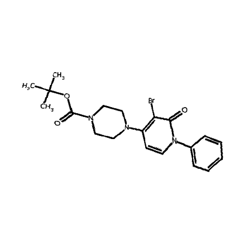 CC(C)(C)OC(=O)N1CCN(c2ccn(-c3ccccc3)c(=O)c2Br)CC1